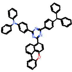 c1ccc(C(c2ccccc2)c2ccc(-c3nc(-c4ccc(N(c5ccccc5)c5ccccc5)cc4)nc(-c4ccc5c6c(cccc46)-c4ccccc4O5)n3)cc2)cc1